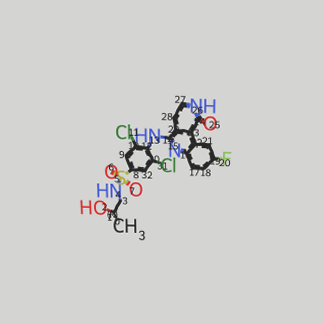 C[C@@H](O)CNS(=O)(=O)c1cc(Cl)c(Nc2nc3ccc(F)cc3c3c(=O)[nH]ccc23)c(Cl)c1